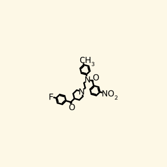 Cc1ccc(N(CCN2CCC(C(=O)c3ccc(F)cc3)CC2)C(=O)c2cccc([N+](=O)[O-])c2)cc1